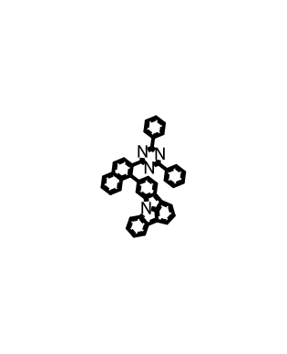 c1ccc(-c2nc(-c3ccccc3)nc(-c3ccc4ccccc4c3-c3ccc4c5cccc6c7ccccc7n(c4c3)c65)n2)cc1